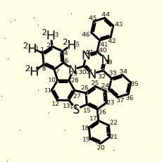 [2H]c1c([2H])c([2H])c2c(c1[2H])c1ccc3sc4c(-c5ccccc5)cccc4c3c1n2-c1nc(-c2ccccc2)nc(-c2ccccc2)n1